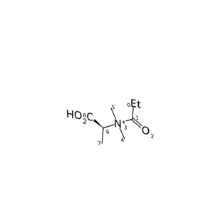 CCC(=O)[N+](C)(C)[C@@H](C)C(=O)O